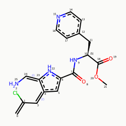 C=C(Cl)/C=c1/cc(C(=O)N[C@@H](Cc2ccncc2)C(=O)OC)[nH]/c1=C/N